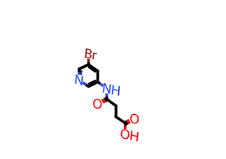 O=C(O)CCC(=O)Nc1cncc(Br)c1